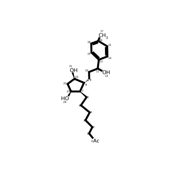 CC(=O)CCCCCC[C@@H]1[C@@H](CCC(O)c2ccc(C)cc2)[C@H](O)C[C@@H]1O